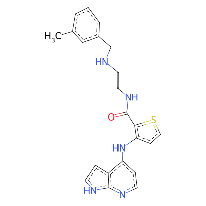 Cc1cccc(CNCCNC(=O)c2sccc2Nc2ccnc3[nH]ccc23)c1